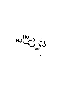 CCC(=Cc1ccc2c(c1)OCO2)C(=O)O